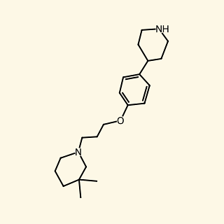 CC1(C)CCCN(CCCOc2ccc(C3CCNCC3)cc2)C1